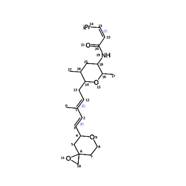 CC(/C=C/C1CC2(CCO1)CO2)=C\CC1OC(C)C(NC(=O)/C=C\C(C)C)CC1C